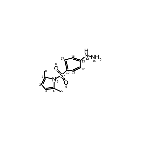 Cc1ccc(C)n1S(=O)(=O)c1ccc(NN)cc1